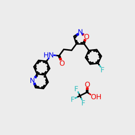 O=C(CCc1cnoc1-c1ccc(F)cc1)Nc1ccc2ncccc2c1.O=C(O)C(F)(F)F